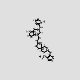 Cc1ccsc1CN1CCC2(CC1)CCN(CCCCN(Cc1ncc[nH]1)Cc1ncc[nH]1)C2